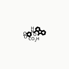 C=C1c2ccccc2-c2cccc(C(=O)Nc3cc4c(c(C(=O)O)c3)OCO4)c21